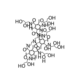 CN(CCN(CCN(C)C(=O)c1c(I)c(NC(=O)C(O)CO)c(I)c(C(=O)NCC(O)CO)c1I)C(=O)c1c(I)c(NC(=O)C(O)CO)c(I)c(C(=O)NCC(O)CO)c1I)C(=O)c1c(I)c(NC(=O)C(O)CO)c(I)c(C(=O)NCC(O)CO)c1I